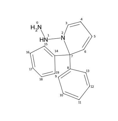 NNN1C=CC=CC1(c1ccccc1)c1ccccc1